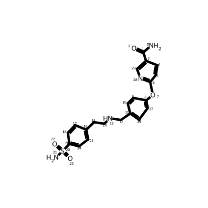 NC(=O)c1ccc(Oc2ccc(CNCCc3ccc(S(N)(=O)=O)cc3)cc2)nc1